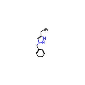 CC(C)Cc1cn(Cc2ccccc2)nn1